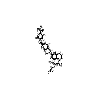 COCC[C@@H]1C(=O)N2CCCc3nc(NCc4ccc(Oc5ccc(C(F)(F)F)nc5)nc4)nc(c32)N1C